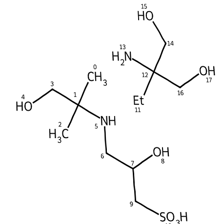 CC(C)(CO)NCC(O)CS(=O)(=O)O.CCC(N)(CO)CO